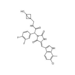 Cc1c(Cl)ccc2c(/C=C3\NC(=O)N(C(C(=O)NCC45CC(O)(C4)C5)c4ccc(F)c(F)c4)C3=O)c[nH]c12